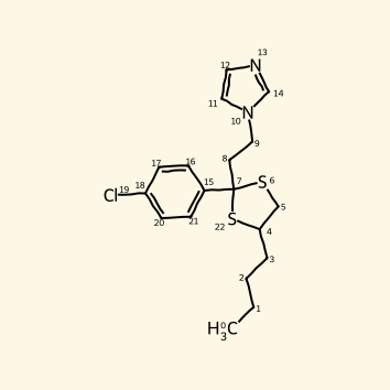 CCCCC1CSC(CCn2ccnc2)(c2ccc(Cl)cc2)S1